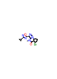 Cn1c(=O)c2c(Br)cccc2n2cnc(-c3nc(C4CC4)no3)c12